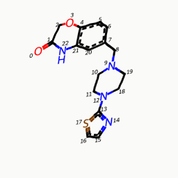 O=C1COc2ccc(CN3CCN(c4nccs4)CC3)cc2N1